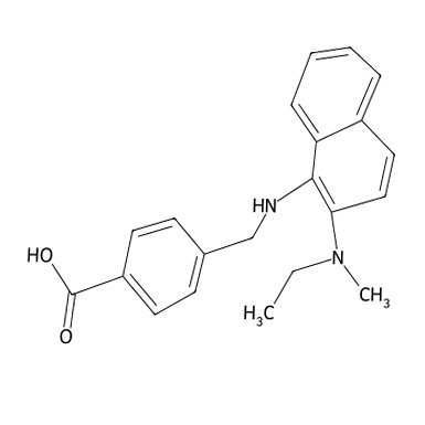 CCN(C)c1ccc2ccccc2c1NCc1ccc(C(=O)O)cc1